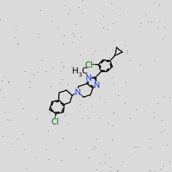 Cn1c(-c2ccc(C3CC3)cc2Cl)nc2c1CN(C1CCc3ccc(Cl)cc3C1)CC2